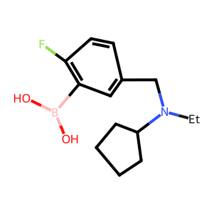 CCN(Cc1ccc(F)c(B(O)O)c1)C1CCCC1